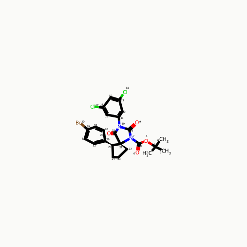 CC(C)(C)OC(=O)N1C(=O)N(c2cc(Cl)cc(Cl)c2)C(=O)[C@]12CCC[C@H]2c1ccc(Br)cc1